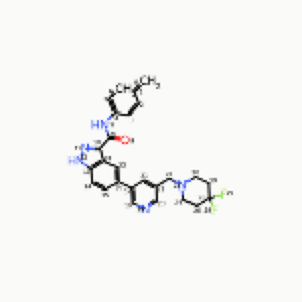 C=C/C=C\C(=C/C)NC(=O)c1n[nH]c2ccc(-c3cncc(CN4CCC(F)(F)CC4)c3)cc12